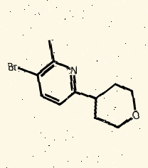 [CH2]c1nc(C2CCOCC2)ccc1Br